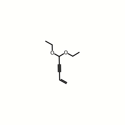 C=CC#CC(OCC)OCC